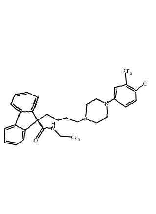 O=C(NCC(F)(F)F)C1(CCCCN2CCN(c3ccc(Cl)c(C(F)(F)F)c3)CC2)c2ccccc2-c2ccccc21